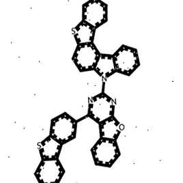 c1ccc2c(c1)oc1nc(-n3c4ccccc4c4c5c(ccc43)sc3ccccc35)nc(-c3ccc4sc5ccccc5c4c3)c12